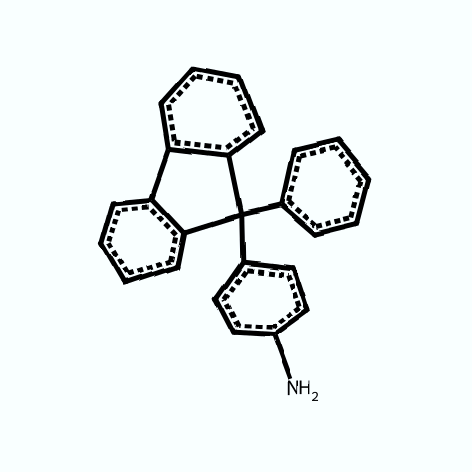 Nc1ccc(C2(c3ccccc3)c3ccccc3-c3ccccc32)cc1